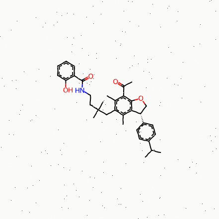 CC(=O)c1c(C)c(CC(C)(C)CCNC(=O)c2ccccc2O)c(C)c2c1OC[C@@H]2c1ccc(C(C)C)cc1